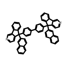 c1ccc2c(c1)-c1cnccc1C2(c1ccc(-c2ccc(C3(c4ccc5ccccc5c4)c4ccccc4-c4cnccc43)cc2)cc1)c1ccc2ccccc2c1